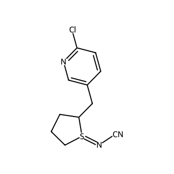 N#C/N=S1/CCCC1Cc1ccc(Cl)nc1